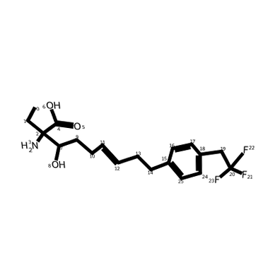 CCC(N)(C(=O)O)C(O)CC/C=C/CCc1ccc(CC(F)(F)F)cc1